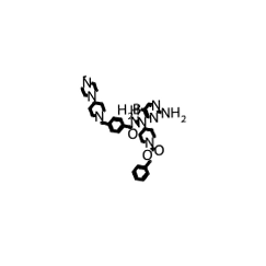 Bc1cnc(N)nc1N(NC(=O)c1ccc(CN2CCC(N3CCN(C)CC3)CC2)cc1)C1CCN(C(=O)OCc2ccccc2)CC1